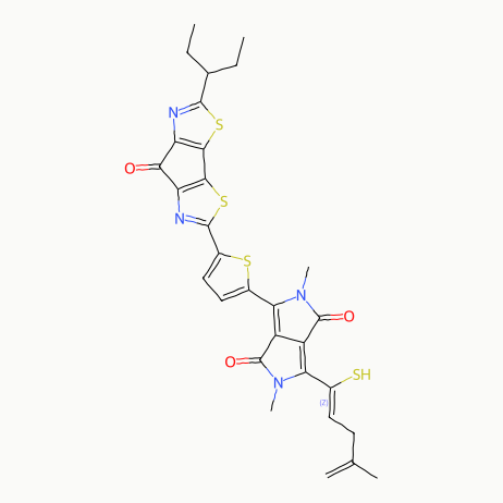 C=C(C)C/C=C(\S)C1=C2C(=O)N(C)C(c3ccc(-c4nc5c(s4)-c4sc(C(CC)CC)nc4C5=O)s3)=C2C(=O)N1C